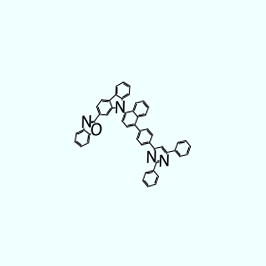 c1ccc(-c2cc(-c3ccc(-c4ccc(-n5c6ccccc6c6ccc(-c7nc8ccccc8o7)cc65)c5ccccc45)cc3)nc(-c3ccccc3)n2)cc1